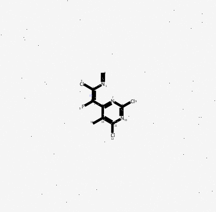 C=N/C(Cl)=C(/F)c1nc(Cl)nc(Cl)c1C